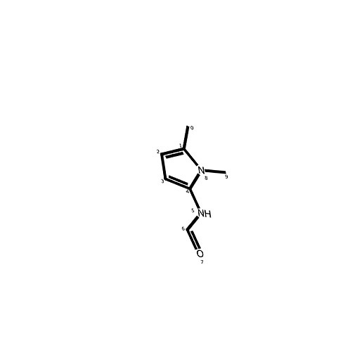 Cc1ccc(NC=O)n1C